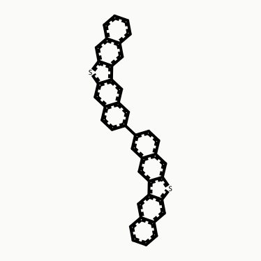 c1ccc2cc3c(cc2c1)sc1cc2ccc(-c4ccc5cc6sc7cc8ccccc8cc7c6cc5c4)cc2cc13